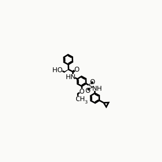 CCOc1cc(NC(=O)[C@@H](CO)c2ccccc2)ccc1S(=O)(=O)Nc1cccc(C2CC2)c1